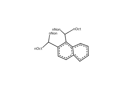 CCCCCCCCCC(CCCCCCCC)c1ccc2ccccc2c1C(CCCCCCCC)CCCCCCCCC